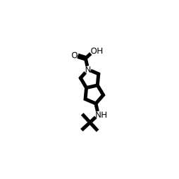 CC(C)(C)NC1CC2CN(C(=O)O)CC2C1